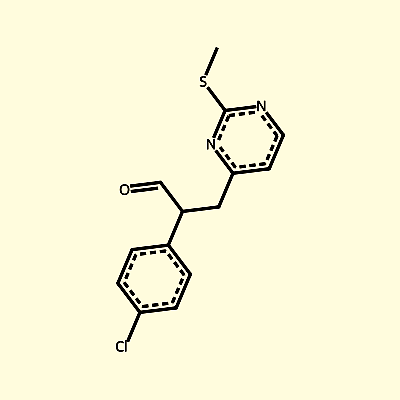 CSc1nccc(CC(C=O)c2ccc(Cl)cc2)n1